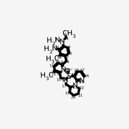 CCN(N)c1ccc(Cc2ccc(C)c(CN3CC4CCCCN4c4ncccc4[S+]3[O-])n2)c(C)c1N